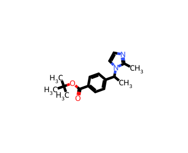 Cc1nccn1C(C)c1ccc(C(=O)OC(C)(C)C)cc1